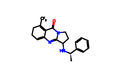 C[C@H](NC1CCn2c1nc1c(c2=O)=C(C(F)(F)F)CCC=1)c1ccccc1